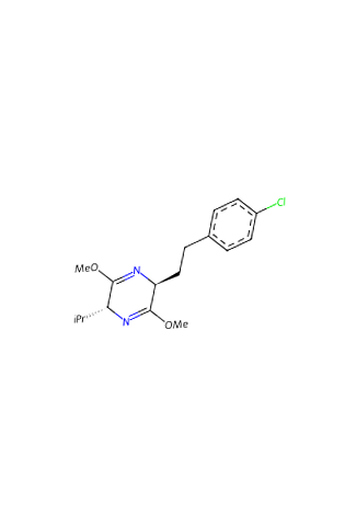 COC1=N[C@H](C(C)C)C(OC)=N[C@H]1CCc1ccc(Cl)cc1